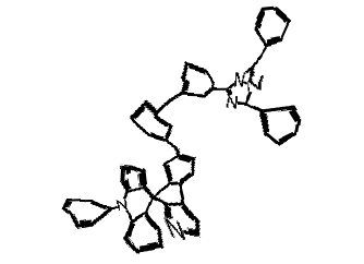 c1ccc(C2N=C(c3cccc(-c4cccc(-c5ccc6c(c5)C5(c7ccccc7N(c7ccccc7)c7ccccc75)c5ncccc5-6)c4)c3)N3C(c4ccccc4)N23)cc1